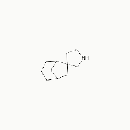 C1CC2CC(C1)C1(CCNC1)C2